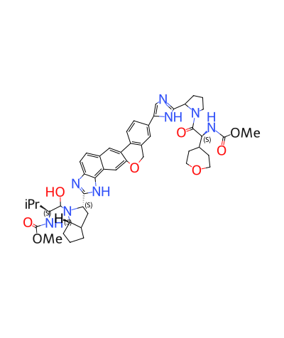 COC(=O)N[C@@H](C(C)C)C(O)N1[C@H](c2nc3ccc4cc5c(cc4c3[nH]2)OCc2cc(-c3cnc(C4CCCN4C(=O)[C@@H](NC(=O)OC)C4CCOCC4)[nH]3)ccc2-5)CC2CCC[C@@H]21